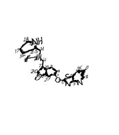 c1cnc2nc(Oc3ccc4c(CNCC5CCCN5)coc4c3)sc2c1